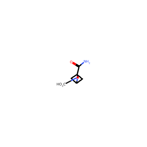 NC(=O)C12CC(C1)N(C(=O)O)C2